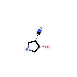 N#C[C@H]1CNC[C@H]1O